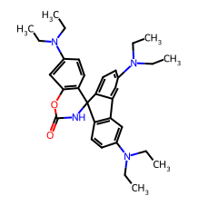 CCN(CC)c1ccc2c(c1)OC(=O)NC21c2ccc(N(CC)CC)cc2-c2cc(N(CC)CC)ccc21